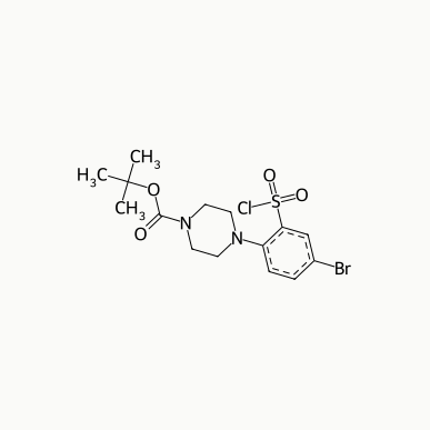 CC(C)(C)OC(=O)N1CCN(c2ccc(Br)cc2S(=O)(=O)Cl)CC1